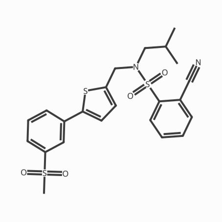 CC(C)CN(Cc1ccc(-c2cccc(S(C)(=O)=O)c2)s1)S(=O)(=O)c1ccccc1C#N